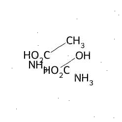 CC(=O)O.N.N.O=C(O)O